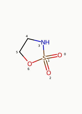 O=S1(=O)NCCO1